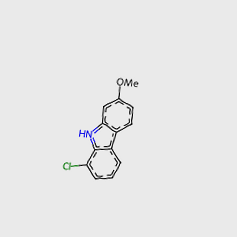 COc1ccc2c(c1)[nH]c1c(Cl)cccc12